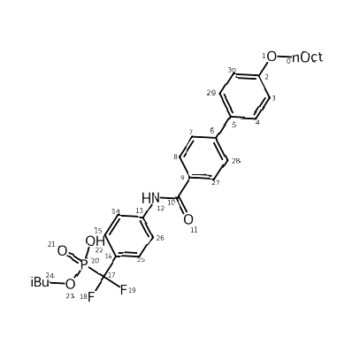 CCCCCCCCOc1ccc(-c2ccc(C(=O)Nc3ccc(C(F)(F)P(=O)(O)OC(C)CC)cc3)cc2)cc1